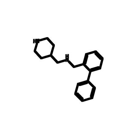 c1ccc(-c2ccccc2CNCC2CCNCC2)cc1